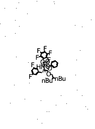 CCCCC(CCCC)COC(=O)[C@H](Cc1cc(F)cc(F)c1)N[P@](=O)(Oc1ccccc1)Oc1c(F)c(F)c(F)c(F)c1F